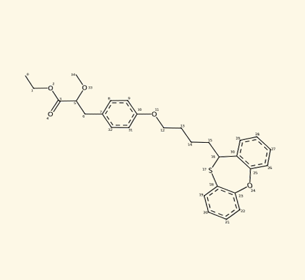 CCOC(=O)C(Cc1ccc(OCCCCC2Sc3ccccc3Oc3ccccc32)cc1)OC